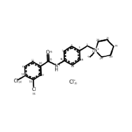 C[N+]1(Cc2ccc(NC(=O)c3ccc(Cl)c(Cl)c3)cc2)CCCCC1.[Cl-]